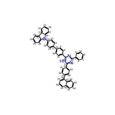 c1ccc(C2=NC(c3ccc(-c4ccc(-n5c6ccccc6c6ccccc65)cc4)cc3)NC(c3ccc(-c4cccc5ccccc45)cc3)=N2)cc1